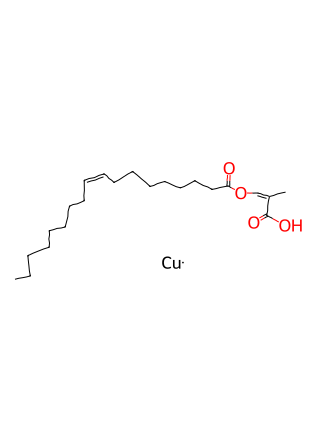 CCCCCCCC/C=C\CCCCCCCC(=O)OC=C(C)C(=O)O.[Cu]